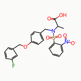 CC(C(=O)O)N(Cc1ccc(OCc2cccc(F)c2)cc1)S(=O)(=O)c1ccccc1[N+](=O)[O-]